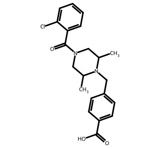 CC1CN(C(=O)c2ccccc2Cl)CC(C)N1Cc1ccc(C(=O)O)cc1